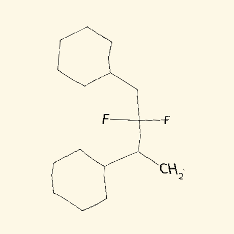 [CH2]C(C1CCCCC1)C(F)(F)CC1CCCCC1